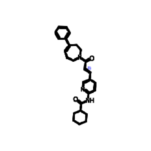 O=C(Nc1ccc(/C=C/C(=O)N2CCC=C(c3ccccc3)CC2)cn1)C1CCCCC1